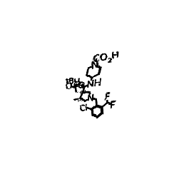 C[C@@H]1CN(Cc2c(Cl)cccc2C(F)F)C[C@]1(CC(=O)OC(C)(C)C)C(=O)NC1CCN(C(=O)O)CC1